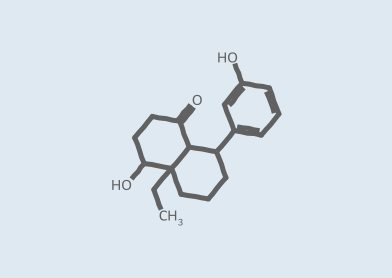 CCC12CCCC(c3cccc(O)c3)C1C(=O)CCC2O